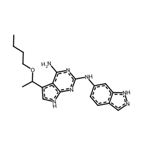 CCCCOC(C)c1c[nH]c2nc(Nc3ccc4cn[nH]c4c3)nc(N)c12